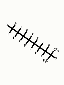 [O]C(F)(F)C(F)(F)C(F)(F)C(F)(F)C(F)(F)C(F)(F)C(F)(F)C(F)(C(F)(F)F)C(F)(F)F